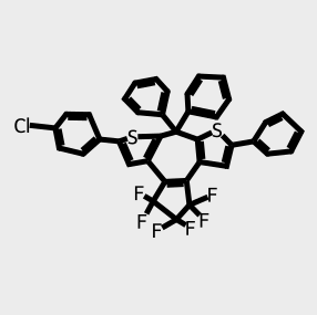 FC1(F)C2=C(c3cc(-c4ccc(Cl)cc4)sc3C(c3ccccc3)(c3ccccc3)c3sc(-c4ccccc4)cc32)C(F)(F)C1(F)F